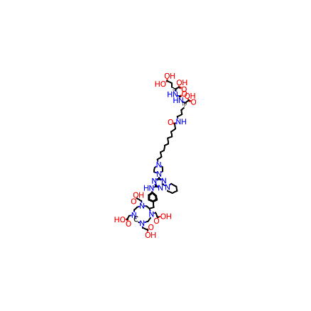 O=C(O)CN1CCN(CC(=O)O)CCN(CC(=O)O)C(Cc2ccc(Nc3nc(N4CCCCC4)nc(N4CCN(CCCCCCCCCCC(=O)NCCCC[C@H](NC(=O)N[C@@H](CCC(O)O)C(=O)O)C(=O)O)CC4)n3)cc2)CN(CC(=O)O)CC1